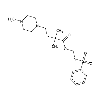 CN1CCN(CCC(C)(C)C(=O)OCSS(=O)(=O)c2ccccc2)CC1